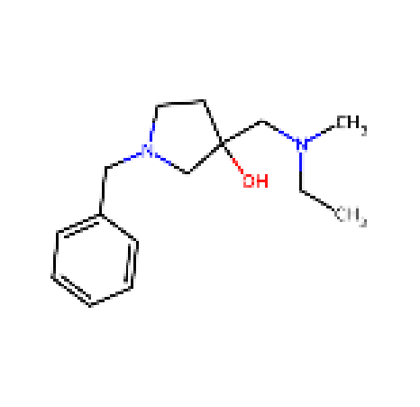 CCN(C)CC1(O)CCN(Cc2ccccc2)C1